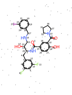 O=C(N[C@@H](Cc1cc(F)cc(F)c1)[C@@H](O)CNCc1cccc(I)c1)c1ccc(O)c(C(=O)N2CCCC2)c1